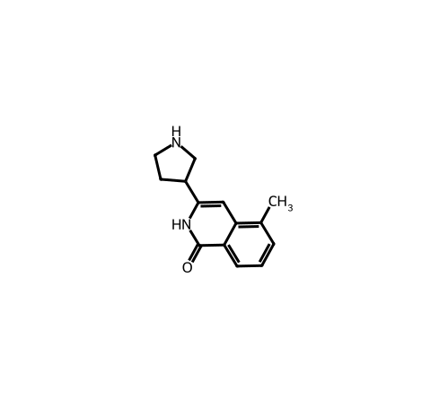 Cc1cccc2c(=O)[nH]c(C3CCNC3)cc12